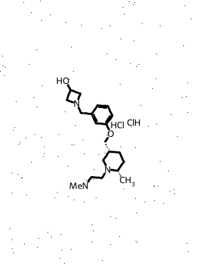 CNCCN1C[C@H](COc2cccc(CN3CC(O)C3)c2)CC[C@@H]1C.Cl.Cl